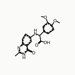 COc1ccc(C(Nc2ccc3nc(C)[nH]c(=O)c3c2)C(=O)O)cc1OC